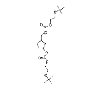 CC(C)(C)OCCOC(=O)OCC1CCC(OC(=O)OCCOC(C)(C)C)C1